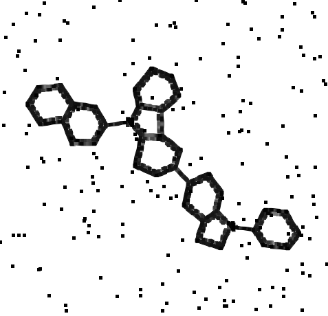 c1ccc(-n2ccc3cc(-c4ccc5c(c4)c4ccccc4n5-c4ccc5ccccc5c4)ccc32)cc1